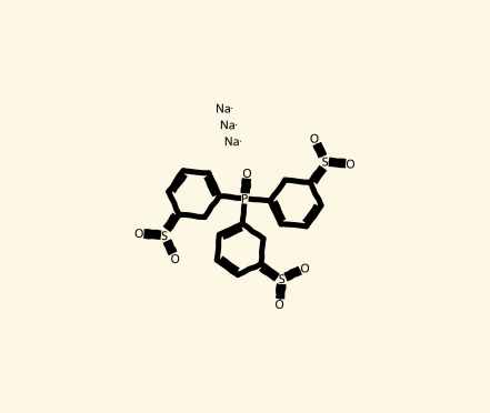 O=S(=O)=C1C=CC=C(P(=O)(C2=CC=CC(=S(=O)=O)C2)C2=CC=CC(=S(=O)=O)C2)C1.[Na].[Na].[Na]